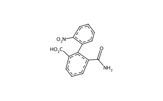 NC(=O)c1cccc(C(=O)O)c1-c1ccccc1[N+](=O)[O-]